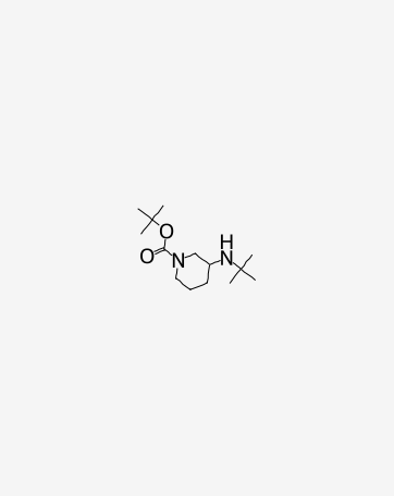 CC(C)(C)NC1CCCN(C(=O)OC(C)(C)C)C1